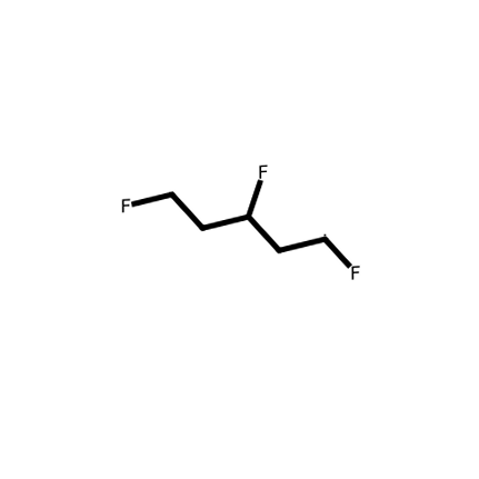 F[CH]CC(F)CCF